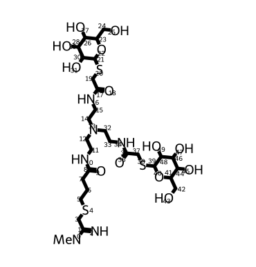 CNC(=N)CSCCCC(=O)NCCN(CCNC(=O)CSC1OC(CO)C(O)C(O)C1O)CCNC(=O)CSC1OC(CO)C(O)C(O)C1O